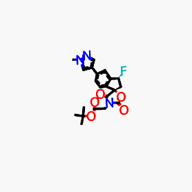 Cn1cc(-c2ccc3c(c2)[C@H](F)C[C@]32OC(=O)N(CC(=O)OC(C)(C)C)C2=O)cn1